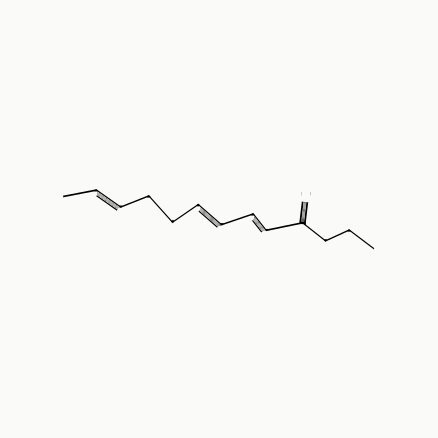 C/C=C/CC/C=C/C=C/C(=O)CCC